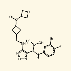 CN(O)C(Nc1ccc(F)c(Br)c1)c1nonc1NCC1CN([S+]([O-])C2COC2)C1